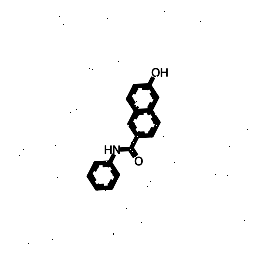 O=C(Nc1ccccc1)c1ccc2cc(O)ccc2c1